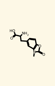 Cn1c(=O)oc2ccc(CC(N)C(=O)O)cc21